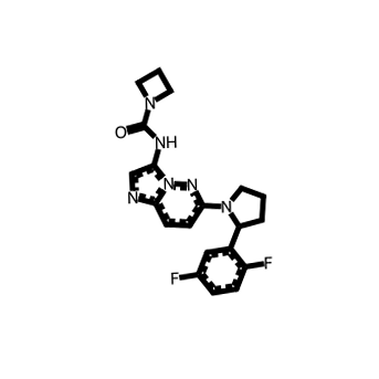 O=C(Nc1cnc2ccc(N3CCCC3c3cc(F)ccc3F)nn12)N1CCC1